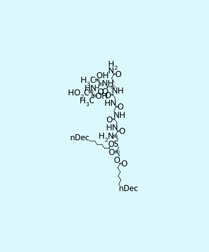 CCCCCCCCCCCCCCCC(=O)OC[C@H](CSC[C@H](N)C(=O)NCC(=O)NCC(=O)NCC(=O)N[C@@H](CCC(N)=O)C(=O)N[C@H](C(=O)N[C@H](C(=O)O)[C@@H](C)O)[C@@H](C)O)OC(=O)CCCCCCCCCCCCCCC